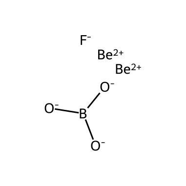 [Be+2].[Be+2].[F-].[O-]B([O-])[O-]